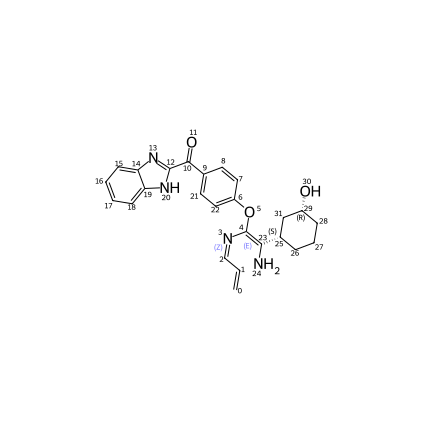 C=C/C=N\C(Oc1ccc(C(=O)c2nc3ccccc3[nH]2)cc1)=C(/N)[C@H]1CCC[C@@H](O)C1